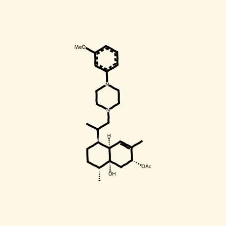 COc1cccc(N2CCN(CC(C)[C@@H]3CC[C@@H](C)[C@]4(O)[CH][C@@H](OC(C)=O)C(C)=C[C@H]34)CC2)c1